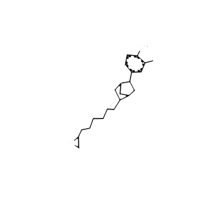 Cc1cc(C2CC3CC2CC3CCCCCCC2CO2)ccc1O